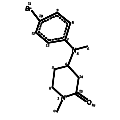 CN1CCC(N(C)c2ccc(Br)cc2)CC1=O